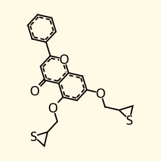 O=c1cc(-c2ccccc2)oc2cc(OCC3CS3)cc(OCC3CS3)c12